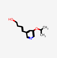 CC(C)Oc1cncc(/C=C/CCO)c1